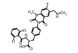 CNCc1cc2c(=O)n(-c3ccc(C[C@H](NC(=O)c4c(Cl)cccc4Cl)C(=O)O)cc3)c(=O)n(C)c2cc1F